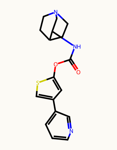 O=C(NC1CN2CCC1CC2)Oc1cc(-c2cccnc2)cs1